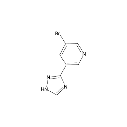 Brc1cncc(-c2nc[nH]n2)c1